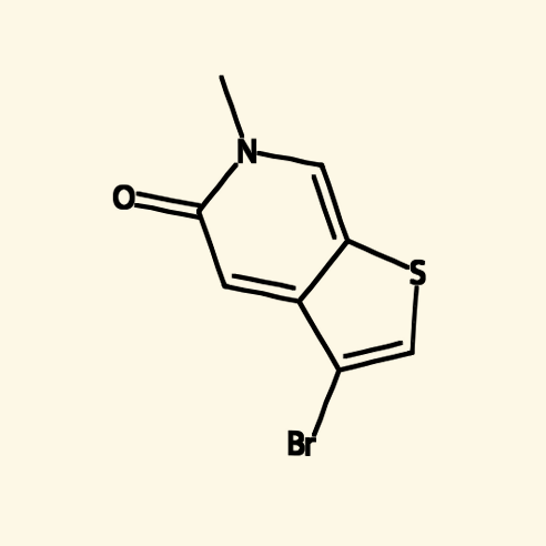 Cn1cc2scc(Br)c2cc1=O